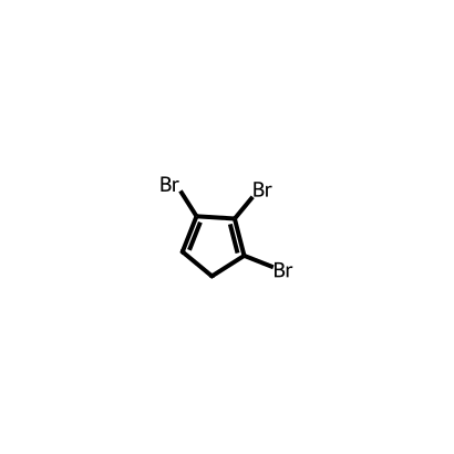 BrC1=CCC(Br)=C1Br